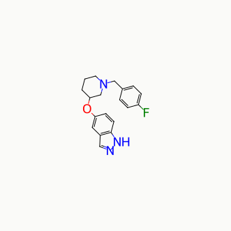 Fc1ccc(CN2CCCC(Oc3ccc4[nH]ncc4c3)C2)cc1